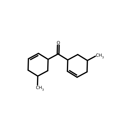 CC1CC=CC(C(=O)C2C=CCC(C)C2)C1